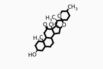 CC1CCC2(OC1)OC1CC3C4CCC5C[C@@H](O)CC[C@]5(C)C4CC(=O)[C@]3(C)C1[C@@H]2C